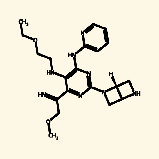 CCOCCNc1c(Nc2ccccn2)nc(N2CC3NC[C@H]32)nc1C(=N)COC